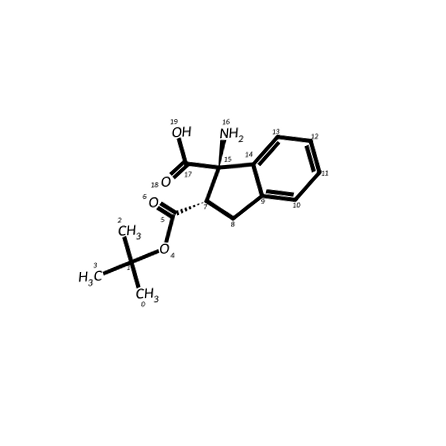 CC(C)(C)OC(=O)[C@H]1Cc2ccccc2[C@@]1(N)C(=O)O